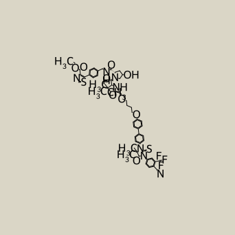 CCOC(=O)c1ncsc1-c1ccc(CNC(=O)[C@@H]2C[C@@H](O)CN2C(=O)C(NC(=O)COCCCCOc2ccc(-c3ccc(N4C(=S)N(c5ccc(C#N)c(C(F)(F)F)c5)C(=O)C4(C)C)cc3)cc2)C(C)(C)C)cc1